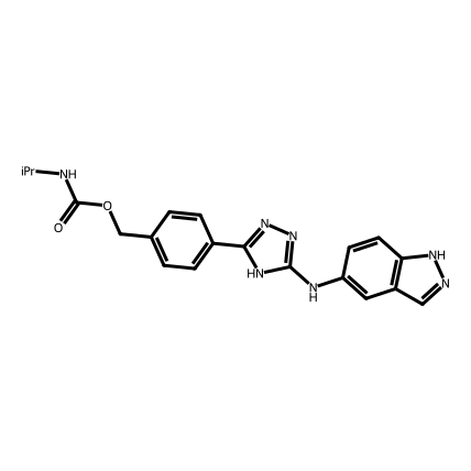 CC(C)NC(=O)OCc1ccc(-c2nnc(Nc3ccc4[nH]ncc4c3)[nH]2)cc1